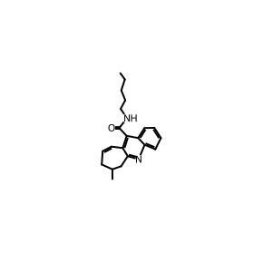 CCCCCNC(=O)c1c2c(nc3ccccc13)CC(C)CC=C2